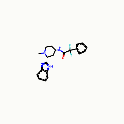 CN1CC[C@@H](NC(=O)C(F)(F)c2ccccc2)C[C@@H]1c1nc2ccccc2[nH]1